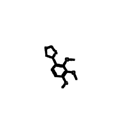 COc1ccc(C2CSCS2)c(OC)c1OC